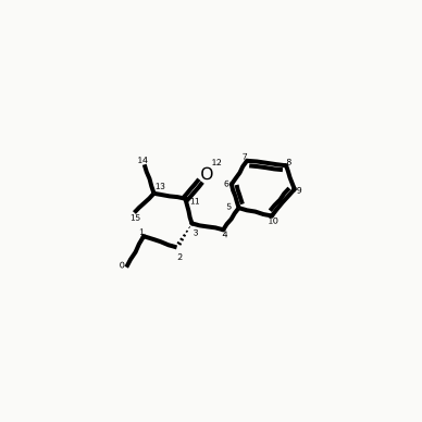 CCC[C@@H](Cc1ccccc1)C(=O)C(C)C